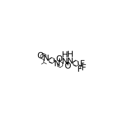 CC(C)C1COCCN1c1ccc(N2CCCC(NC(=O)Nc3ccc(C(F)(F)F)cc3)C2=O)cc1